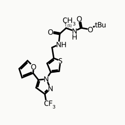 C[C@H](NC(=O)OC(C)(C)C)C(=O)NCc1cc(-n2nc(C(F)(F)F)cc2-c2ccco2)cs1